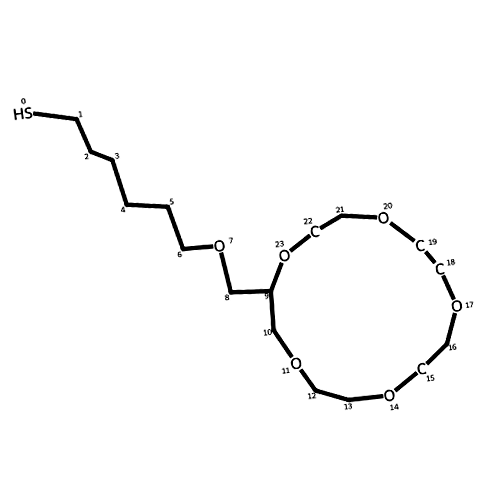 SCCCCCCOCC1COCCOCCOCCOCCO1